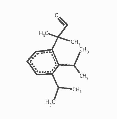 CC(C)c1cccc(C(C)(C)C=O)c1C(C)C